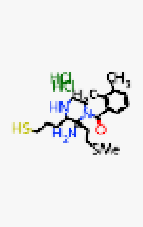 CSCC[C@@]1(N)C(CCCS)NCCN1C(=O)c1cccc(C)c1C.Cl.Cl